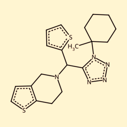 CC1(n2nnnc2C(c2cccs2)N2CCc3sccc3C2)CCCCC1